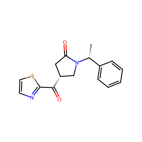 C[C@H](c1ccccc1)N1C[C@H](C(=O)c2nccs2)CC1=O